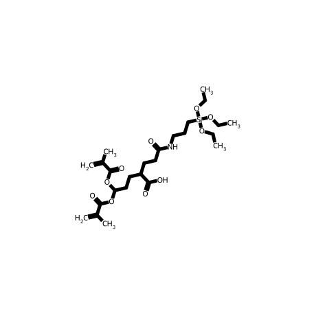 C=C(C)C(=O)OC(CCC(CCC(=O)NCCC[Si](OCC)(OCC)OCC)C(=O)O)OC(=O)C(=C)C